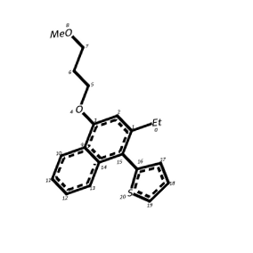 CCc1cc(OCCCOC)c2ccccc2c1-c1cccs1